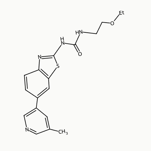 CCOCCNC(=O)Nc1nc2ccc(-c3cncc(C)c3)cc2s1